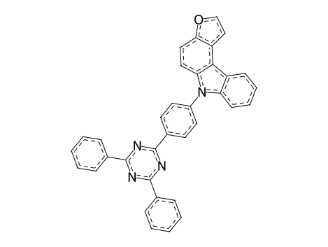 c1ccc(-c2nc(-c3ccccc3)nc(-c3ccc(-n4c5ccccc5c5c6ccoc6ccc54)cc3)n2)cc1